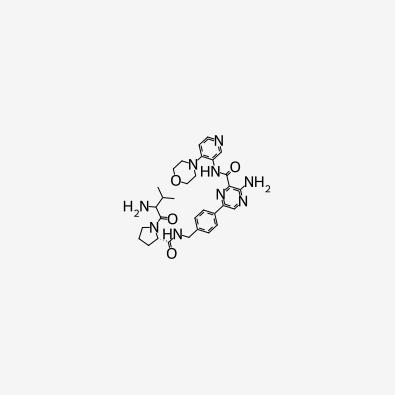 CC(C)C(N)C(=O)N1CCC[C@H]1C(=O)NCc1ccc(-c2cnc(N)c(C(=O)Nc3cnccc3N3CCOCC3)n2)cc1